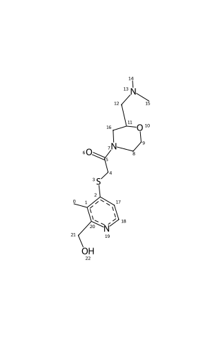 Cc1c(SCC(=O)N2CCOC(CN(C)C)C2)ccnc1CO